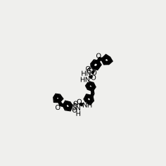 O=C(Nc1ccc(Cc2ccc(NC(=O)NS(=O)(=O)c3ccc(C(=O)c4ccccc4)cc3)cc2)cc1)NS(=O)(=O)c1ccc(C(=O)c2ccccc2)cc1